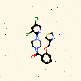 O=C(c1ccccc1OCc1cscn1)N1CCN(c2ncc(Cl)cc2Cl)CC1